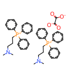 CN(C)CCC[P+](c1ccccc1)(c1ccccc1)c1ccccc1.CN(C)CCC[P+](c1ccccc1)(c1ccccc1)c1ccccc1.O=C([O-])C(=O)[O-]